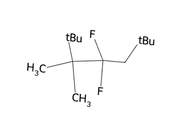 CC(C)(C)CC(F)(F)C(C)(C)C(C)(C)C